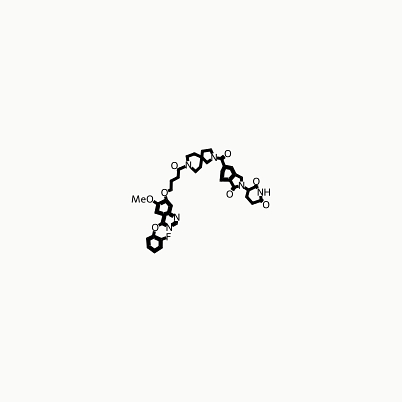 COc1cc2c(Oc3ccccc3F)ncnc2cc1OCCCC(=O)N1CCC2(CC1)CCN(C(=O)c1ccc3c(c1)CN(C1CCC(=O)NC1=O)C3=O)C2